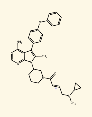 Cc1c(-c2ccc(Oc3ccccc3)cc2)c2c(N)ncnc2n1C1CCCN(C(=O)/C=C/CN(C)C2CC2)C1